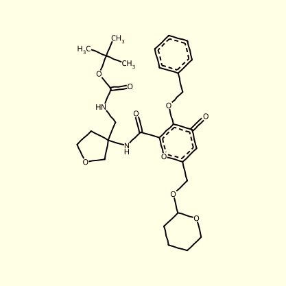 CC(C)(C)OC(=O)NCC1(NC(=O)c2oc(COC3CCCCO3)cc(=O)c2OCc2ccccc2)CCOC1